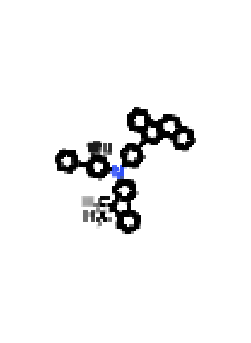 CC(C)(C)c1cc(N(c2ccc(-c3cc4c5ccccc5ccc4c4ccccc34)cc2)c2ccc3c(c2)C(C)(C)c2ccccc2-3)ccc1-c1ccccc1